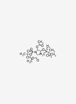 COC(=O)[C@H]1C[C@H](O[Si](C)(C)C(C)(C)C)C(OC(C)=O)N1C(=O)OC(C)(C)C